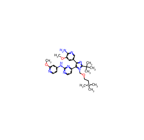 COc1cc(Nc2nccc(-c3c(-c4cnc(N)c(OC)c4)nc(C(C)(C)C)n3COCC[Si](C)(C)C)n2)ccn1